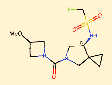 COC1CN(C(=O)N2C[C@@H](NS(=O)(=O)CF)C3(CC3)C2)C1